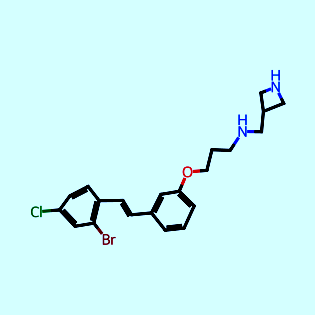 Clc1ccc(C=Cc2cccc(OCCCNCC3CNC3)c2)c(Br)c1